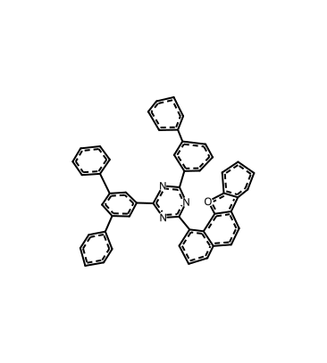 c1ccc(-c2cccc(-c3nc(-c4cc(-c5ccccc5)cc(-c5ccccc5)c4)nc(-c4cccc5ccc6c7ccccc7oc6c45)n3)c2)cc1